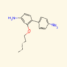 CCCCCOc1cc(N)ccc1-c1ccc(N)cc1